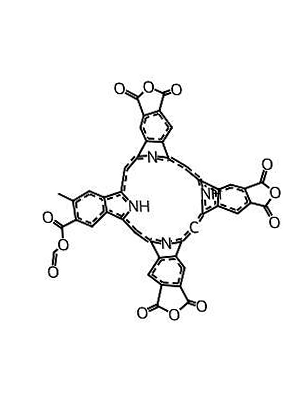 Cc1cc2c3cc4nc(cc5[nH]c(cc6nc(cc([nH]3)c2cc1C(=O)OC=O)-c1cc2c(cc1-6)C(=O)OC2=O)c1cc2c(cc51)C(=O)OC2=O)-c1cc2c(cc1-4)C(=O)OC2=O